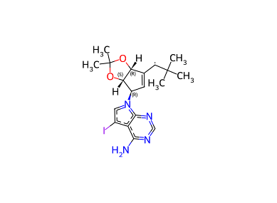 CC(C)(C)[CH]C1=C[C@@H](n2cc(I)c3c(N)ncnc32)[C@@H]2OC(C)(C)O[C@H]12